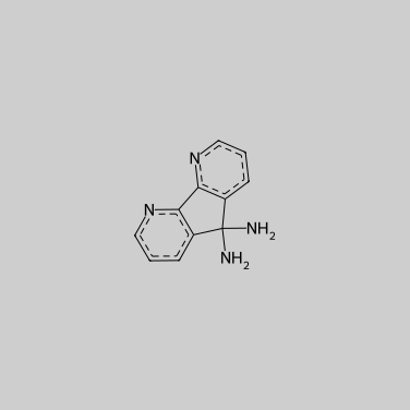 NC1(N)c2cccnc2-c2ncccc21